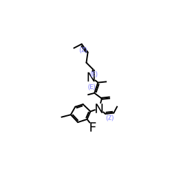 C=C(/C(C)=C(C)/N=C/C/C=C\C)N(/C=C\C)c1ccc(C)cc1F